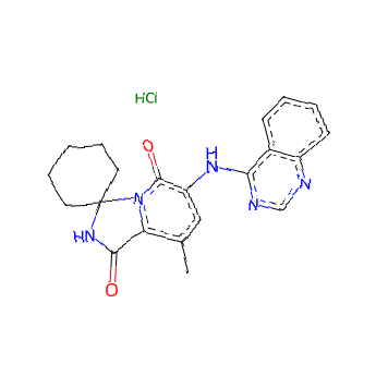 Cc1cc(Nc2ncnc3ccccc23)c(=O)n2c1C(=O)NC21CCCCC1.Cl